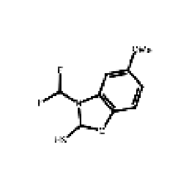 COc1ccc2c(c1)N(C(F)F)C(S)O2